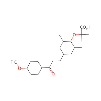 CC1CC(CCC(=O)C2CCC(OC(F)(F)F)CC2)CC(C)C1OC(C)(C)C(=O)O